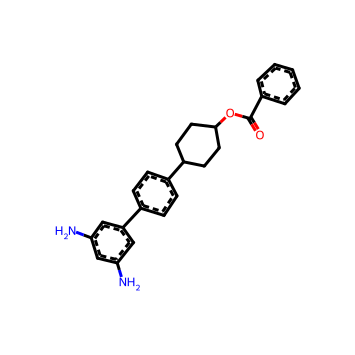 Nc1cc(N)cc(-c2ccc(C3CCC(OC(=O)c4ccccc4)CC3)cc2)c1